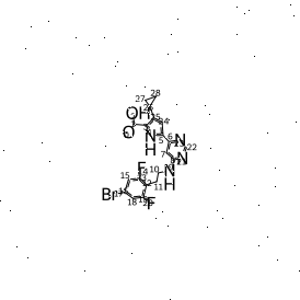 O=C(O)c1[nH]c(-c2cc(NCCc3c(F)cc(Br)cc3F)ncn2)cc1C1CC1